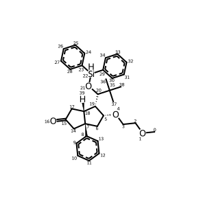 COCCO[C@@H]1C[C@]2(c3ccccc3)CC(=O)C[C@@H]2[C@@H]1C(O[SiH](c1ccccc1)c1ccccc1)C(C)(C)C